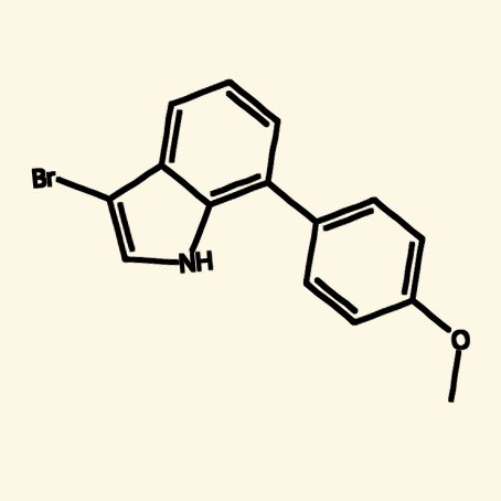 COc1ccc(-c2cccc3c(Br)c[nH]c23)cc1